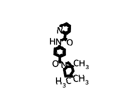 CC1(C)CC2CC(C)(CN2C(=O)c2ccc(NC(=O)c3ccccn3)cc2)C1